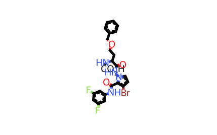 O=C(O)NC(CCOCc1ccccc1)C(=O)Nn1ccc(Br)c1C(=O)Nc1cc(F)cc(F)c1